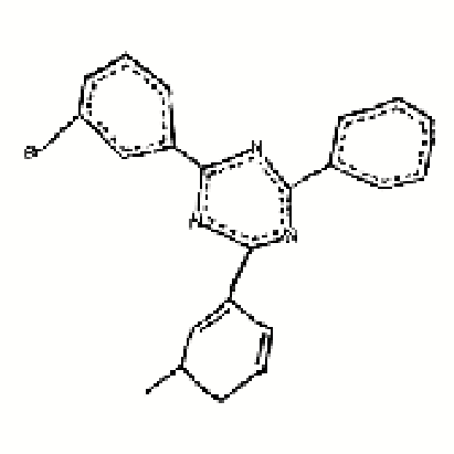 CC1C=C(c2nc(-c3ccccc3)nc(-c3cccc(Br)c3)n2)C=CC1